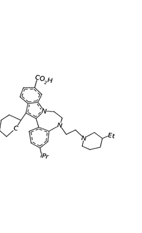 CCC1CCCN(CCN2CCn3c(c(C4CCCCC4)c4ccc(C(=O)O)cc43)-c3ccc(C(C)C)cc32)C1